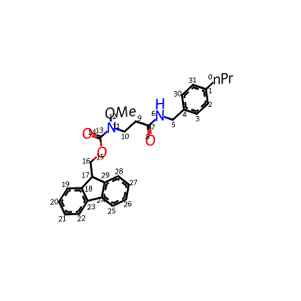 CCCc1ccc(CNC(=O)CCN(OC)C(=O)OCC2c3ccccc3-c3ccccc32)cc1